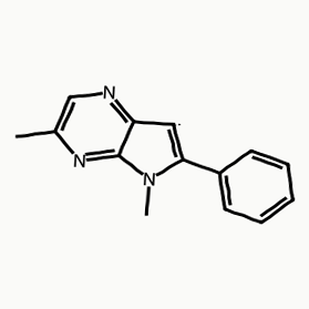 Cc1cnc2[c]c(-c3ccccc3)n(C)c2n1